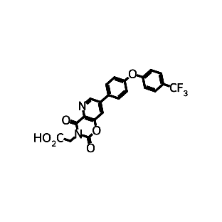 O=C(O)Cn1c(=O)oc2cc(-c3ccc(Oc4ccc(C(F)(F)F)cc4)cc3)cnc2c1=O